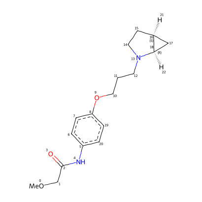 COCC(=O)Nc1ccc(OCCCN2CC[C@H]3C[C@H]32)cc1